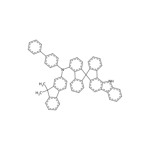 CC1(C)c2ccccc2-c2ccc(N(c3ccc(-c4ccccc4)cc3)c3cccc4c3-c3ccccc3C43c4ccccc4-c4c3ccc3c4[nH]c4ccccc43)cc21